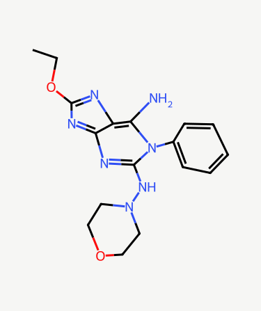 CCOc1nc2nc(NN3CCOCC3)n(-c3ccccc3)c(N)c-2n1